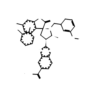 CCOC1=CC(CN2[C@@H](C)[C@@H](c3nc4cc(C(=O)OC)ccc4[nH]3)[C@H](c3cccc(Cl)c3F)[C@]23C(=O)Nc2cc(Cl)ccc23)CC=C1